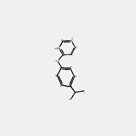 CC(C)c1ccc(Oc2ccncn2)cc1